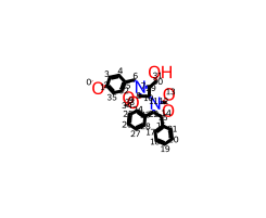 COc1ccc(CN2C(=O)C(N3C(=O)OC(c4ccccc4)C3c3ccccc3)C2CO)c(OC)c1